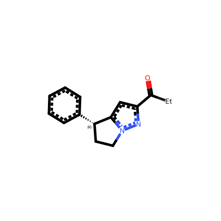 CCC(=O)c1cc2n(n1)CC[C@@H]2c1ccccc1